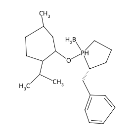 B[PH]1(OC2CC(C)CCC2C(C)C)CCC[C@@H]1Cc1ccccc1